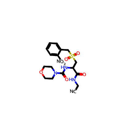 N#CCNC(=O)C(CS(=O)(=O)Cc1ccccc1[N+](=O)[O-])NC(=O)N1CCOCC1